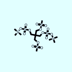 C[Si](C)(C)OS(=O)(=O)OCC(COS(C)(=O)=O)(COS(C)(=O)=O)COS(=O)(=O)O[Si](C)(C)C